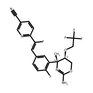 C[C@]1(c2cc(/C=C(\F)c3ccc(C#N)cn3)ccc2F)N=C(N)OC[C@@H]1OCC(F)(F)F